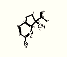 C=C(C)C1(O)CCc2ccc(Br)nc21